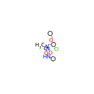 Cc1cc(OC(=O)Nc2ccccc2)nn1Cc1cc(Cl)ccc1OCc1ccccc1